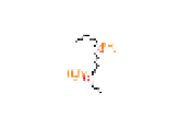 CC/C=C\C[C@@H](C#C/C=C/C=C/[C@@H](C/C=C\C/C=C\CCC)OP)OPP